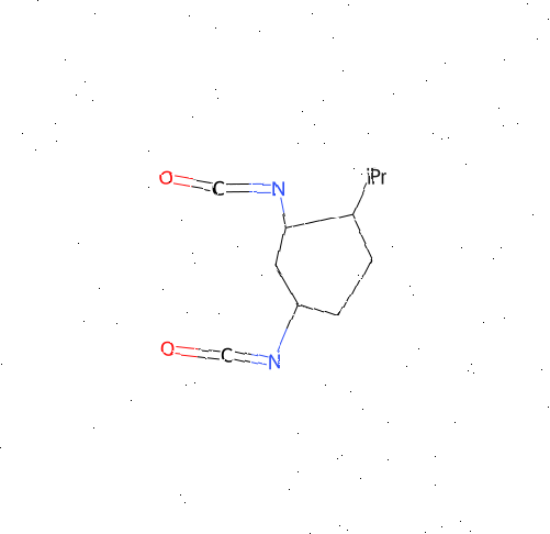 CC(C)C1CCC(N=C=O)CC1N=C=O